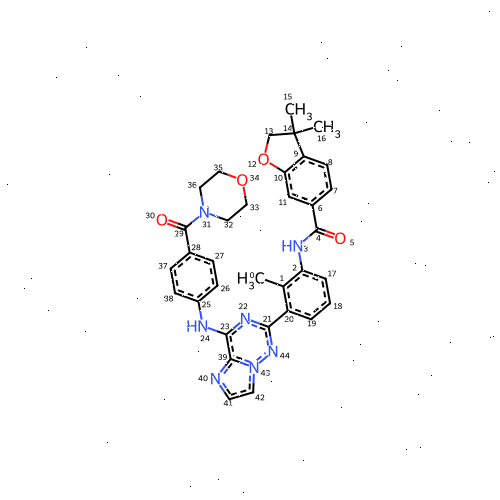 Cc1c(NC(=O)c2ccc3c(c2)OCC3(C)C)cccc1-c1nc(Nc2ccc(C(=O)N3CCOCC3)cc2)c2nccn2n1